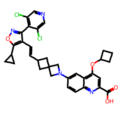 O=C(O)c1cc(OC2CCC2)c2cc(N3CC4(CC(C=Cc5c(-c6c(Cl)cncc6Cl)noc5C5CC5)C4)C3)ccc2n1